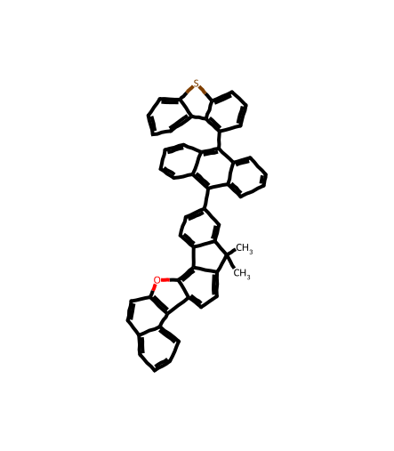 CC1(C)c2cc(-c3c4ccccc4c(-c4cccc5sc6ccccc6c45)c4ccccc34)ccc2-c2c1ccc1c2oc2ccc3ccccc3c21